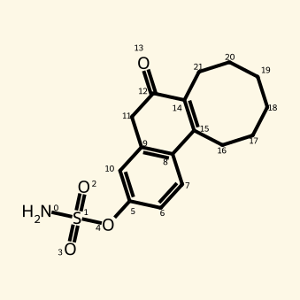 NS(=O)(=O)Oc1ccc2c(c1)CC(=O)C1=C2CCCCCC1